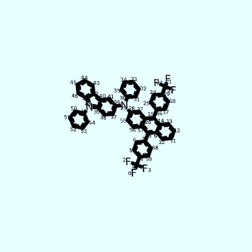 FC(F)(F)c1ccc(-c2c3ccccc3c(-c3ccc(C(F)(F)F)cc3)c3cc(N(c4ccccc4)c4ccc5c(c4)c4ccccc4n5-c4ccccc4)ccc23)cc1